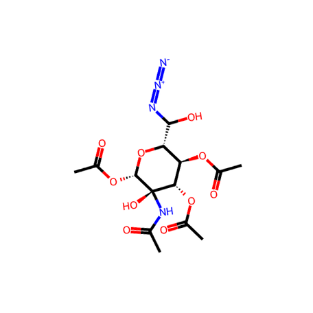 CC(=O)N[C@]1(O)[C@H](OC(C)=O)O[C@H](C(O)N=[N+]=[N-])[C@@H](OC(C)=O)[C@@H]1OC(C)=O